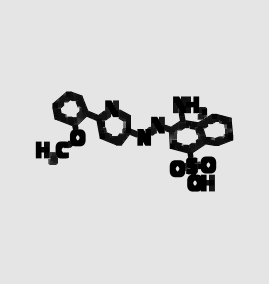 COc1ccccc1-c1ccc(N=Nc2cc(S(=O)(=O)O)c3ccccc3c2N)cn1